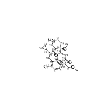 COCCc1ccc(Cl)c(CN(C(=O)C2CNCCC2(OC)c2ccn(C)c(=O)c2)C2CC2)c1